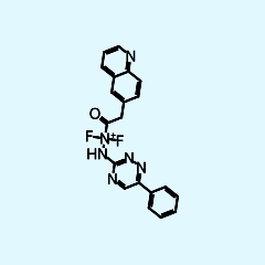 O=C(Cc1ccc2ncccc2c1)[N+](F)(F)Nc1ncc(-c2ccccc2)nn1